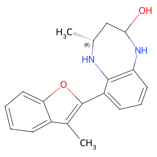 Cc1c(-c2cccc3c2N[C@H](C)CC(O)N3)oc2ccccc12